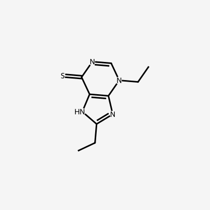 CCc1nc2c([nH]1)c(=S)ncn2CC